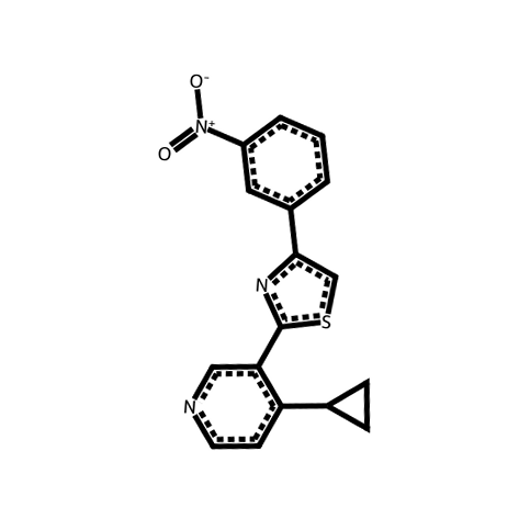 O=[N+]([O-])c1cccc(-c2csc(-c3cnccc3C3CC3)n2)c1